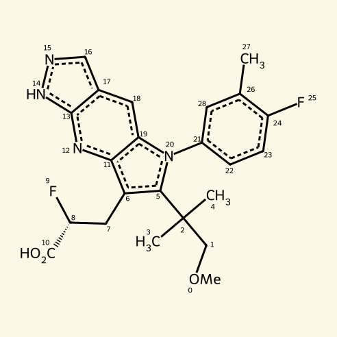 COCC(C)(C)c1c(C[C@@H](F)C(=O)O)c2nc3[nH]ncc3cc2n1-c1ccc(F)c(C)c1